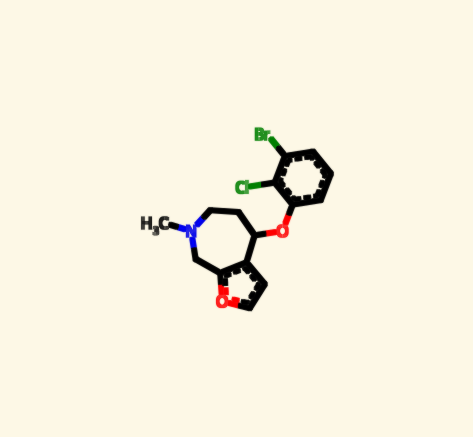 CN1CCC(Oc2cccc(Br)c2Cl)c2ccoc2C1